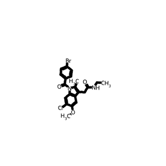 CCNC(=O)Cc1c(C)n(C(=O)c2ccc(Br)cc2)c2cc(Cl)c(OC)cc12